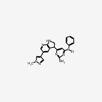 CCN(c1ccccc1)c1cc(C2CNc3ncc(-c4cnn(C)c4)cc32)nc(N)n1